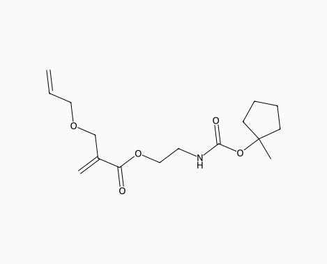 C=CCOCC(=C)C(=O)OCCNC(=O)OC1(C)CCCC1